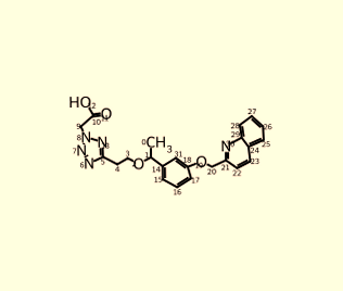 CC(OCCc1nnn(CC(=O)O)n1)c1cccc(OCc2ccc3ccccc3n2)c1